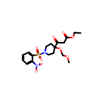 CCOC(=O)CC(=O)C1(OCOC)CCN(S(=O)(=O)c2ccccc2[N+](=O)[O-])CC1